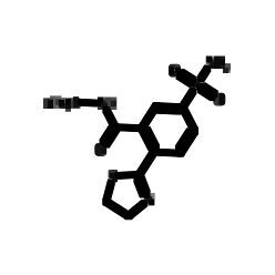 CCCCCCCNC(=O)c1cc(S(N)(=O)=O)ccc1C1=NCCS1